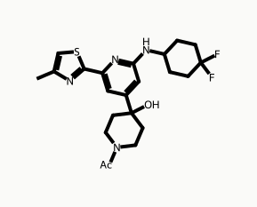 CC(=O)N1CCC(O)(c2cc(NC3CCC(F)(F)CC3)nc(-c3nc(C)cs3)c2)CC1